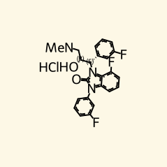 CNC[C@@H](O)[C@H](c1cccc(F)c1)n1c(=O)n(-c2cccc(F)c2)c2cccc(F)c21.Cl